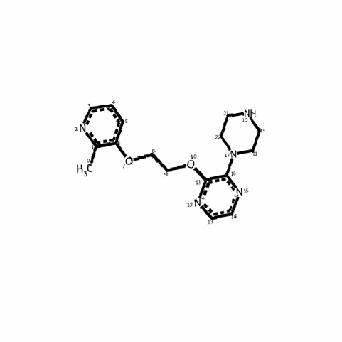 Cc1ncccc1OCCOc1nccnc1N1CCNCC1